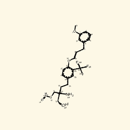 COc1cccc(CCCOc2ccc(CCC(N)(CO)CO[PH2]=O)cc2C(F)(F)F)c1